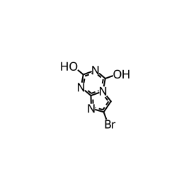 Oc1nc(O)n2cc(Br)nc2n1